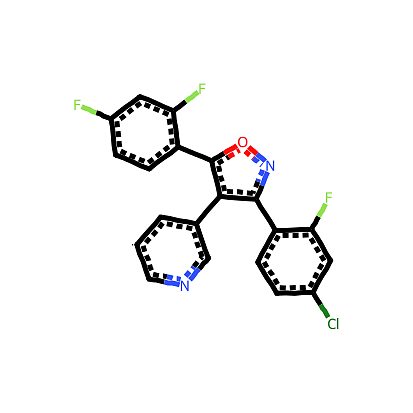 Fc1ccc(-c2onc(-c3ccc(Cl)cc3F)c2-c2c[c]cnc2)c(F)c1